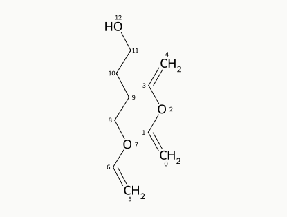 C=COC=C.C=COCCCCO